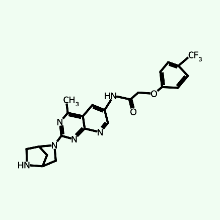 Cc1nc(N2CC3CC2CN3)nc2ncc(NC(=O)COc3ccc(C(F)(F)F)cc3)cc12